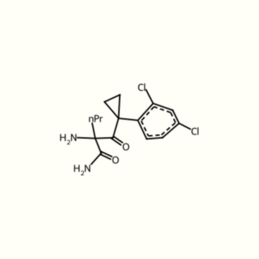 CCCC(N)(C(N)=O)C(=O)C1(c2ccc(Cl)cc2Cl)CC1